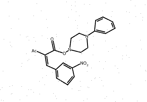 CC(=O)C(=Cc1cccc([N+](=O)[O-])c1)C(=O)ON1CCN(c2ccccc2)CC1